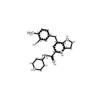 Cc1ccc(Cc2cc(C(=O)NC3CCOCC3)nc3c2OCC3)cc1F